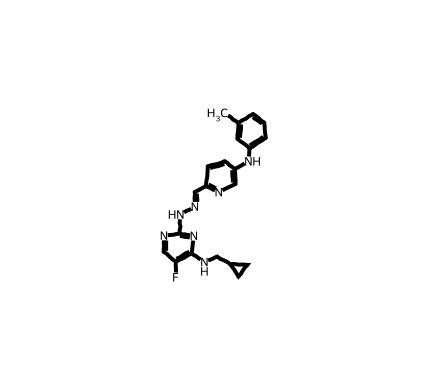 Cc1cccc(Nc2ccc(/C=N/Nc3ncc(F)c(NCC4CC4)n3)nc2)c1